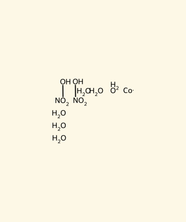 O.O.O.O.O.O.O=[N+]([O-])O.O=[N+]([O-])O.[Co]